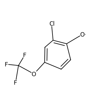 [O]c1ccc(OC(F)(F)F)cc1Cl